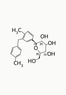 Cc1ccc(Cc2cc([C@@H]3O[C@H](CO)[C@@H](O)C(O)[C@H]3O)ccc2C)cc1